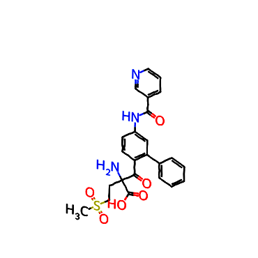 CS(=O)(=O)CCC(N)(C(=O)O)C(=O)c1ccc(NC(=O)c2cccnc2)cc1-c1ccccc1